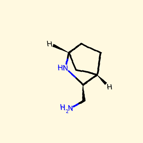 NC[C@H]1N[C@@H]2CC[C@H]1C2